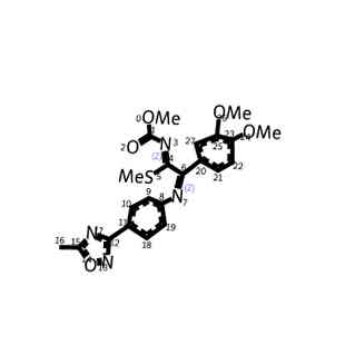 COC(=O)/N=C(SC)/C(=N\c1ccc(-c2noc(C)n2)cc1)c1ccc(OC)c(OC)c1